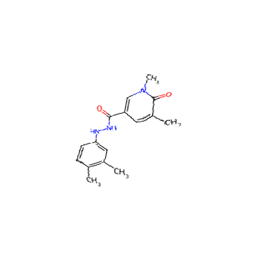 Cc1ccc(NNC(=O)c2cc(C)c(=O)n(C)c2)cc1C